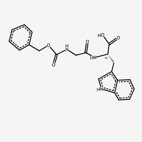 O=C(CNC(=O)OCc1ccccc1)N[C@@H](Cc1c[nH]c2ccccc12)C(=O)O